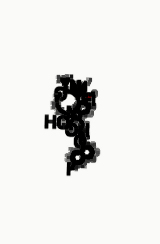 CCc1c2c(nn1C)C(C1CC1)OCCCCn1c(C(O)O)c(CCCOc3cccc4cc(F)ccc34)c3ccc(Cl)c-2c31